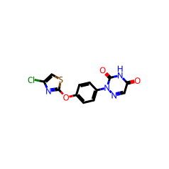 O=c1cnn(-c2ccc(Oc3nc(Cl)cs3)cc2)c(=O)[nH]1